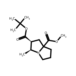 COC(=O)C12CCCN1[C@@H](C)[C@@H](C(=O)OC(C)(C)C)C2